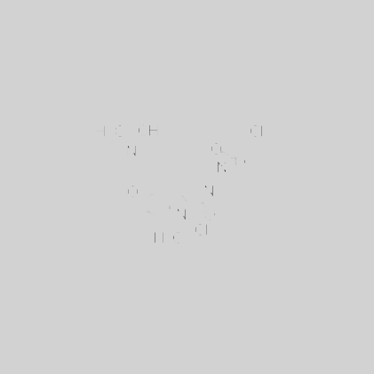 CCCS(=O)(=O)N1CCN(C(=O)c2cc3cc(OC4CCN(C(C)C)CC4)ccc3n2C(C)C)CC1